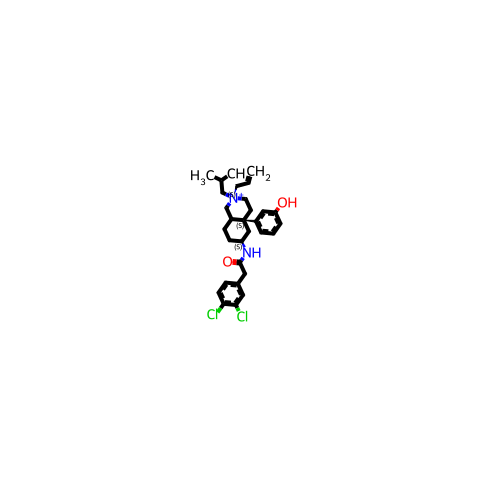 C=CC[N@@+]1(CC(C)C)CC[C@]2(c3cccc(O)c3)C[C@@H](NC(=O)Cc3ccc(Cl)c(Cl)c3)CCC2C1